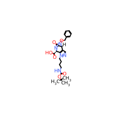 CC(C)(C)OC(=O)NCCCCn1ncc2c1[C@@H](C(=O)O)N1C[C@@H]2N(OCc2ccccc2)C1=O